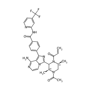 C=CC(=O)N1C(c2nc(-c3ccc(C(=O)Nc4cc(C(F)(F)F)ccn4)cc3)c3c(N)nccn23)[C@H](C)N(C(C)=O)C[C@@H]1C